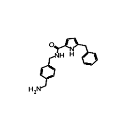 NCc1ccc(CNC(=O)c2ccc(Cc3ccccc3)[nH]2)cc1